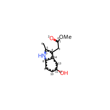 COC(=O)Cc1c(C)[nH]c2ccc(O)cc12